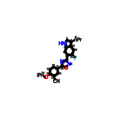 CCCc1c[nH]c2cc(-c3noc(-c4ccc(OC(C)C)c(C#N)c4)n3)c(F)cc12